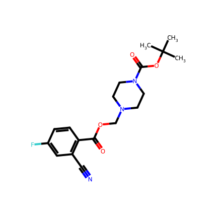 CC(C)(C)OC(=O)N1CCN(COC(=O)c2ccc(F)cc2C#N)CC1